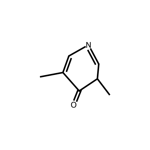 CC1=CN=CC(C)C1=O